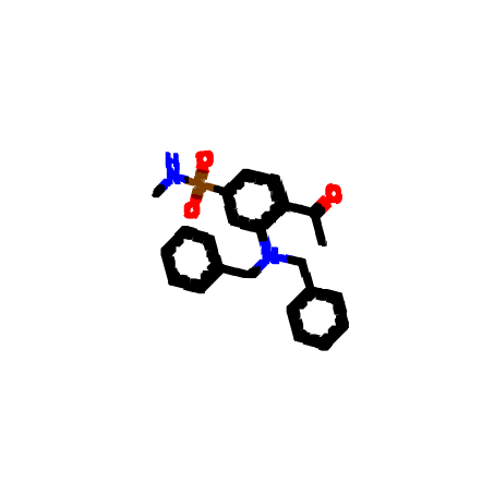 CNS(=O)(=O)c1ccc(C(C)=O)c(N(Cc2ccccc2)Cc2ccccc2)c1